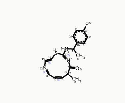 CC(N/C1=N/C(=O)[C@@H](C)\C=C/C=N\C=C\S1)c1ccc(F)cc1